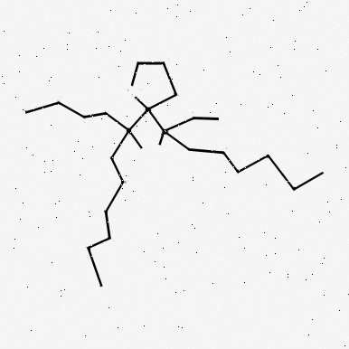 CCCCCCC(C)(CC)C1(C(C)(CCCC)CCCCCC)CCCN1